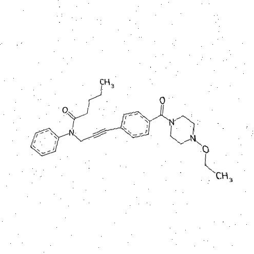 CCCCC(=O)N(CC#Cc1ccc(C(=O)N2CCN(OCC)CC2)cc1)c1ccccc1